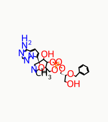 C/N=C\[C@@]1(c2ccc3c(N)ncnn23)O[C@@H]2COP(=O)(OC[C@@H](CO)OCc3ccccc3)OC2C1O